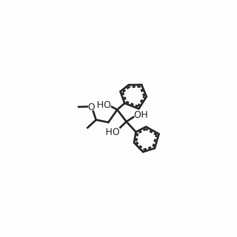 COC(C)CC(O)(c1ccccc1)C(O)(O)c1ccccc1